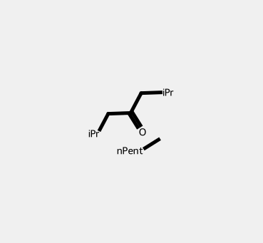 CC(C)CC(=O)CC(C)C.CCCCCC